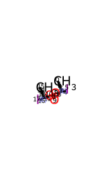 CC#C/C(=C\I)COC(=O)OC/C(C#CC)=C/I